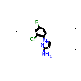 Nc1ccn(-c2ccc(F)cc2Cl)n1